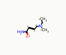 CCN(C)CC=CC(N)=O